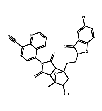 CC12OC(CCn3oc4ccc(Cl)cc4c3=O)(CC1O)C1C(=O)N(c3ccc(C#N)c4ncccc34)C(=O)C12